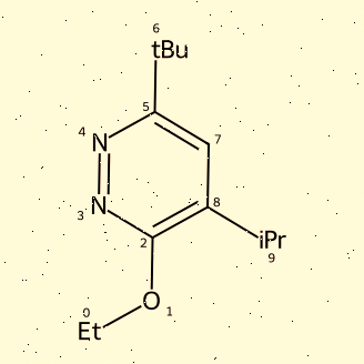 CCOc1nnc(C(C)(C)C)cc1C(C)C